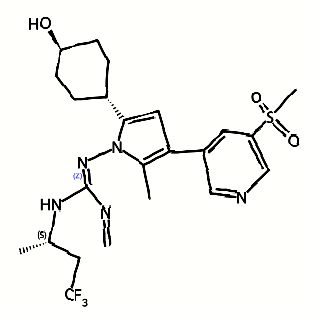 C=N/C(=N\n1c(C)c(-c2cncc(S(C)(=O)=O)c2)cc1[C@H]1CC[C@H](O)CC1)N[C@@H](C)CC(F)(F)F